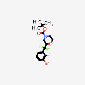 CC(C)(C)OC(=O)N1CCOC(C(F)(F)c2cccc(Br)c2F)C1